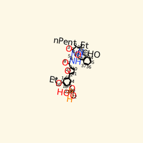 CCCCCC(C(=O)NCNC(=O)c1ccc(-c2cc(OCC)cc(O[PH](=O)O)c2)o1)C(CC)N(C=O)OCc1ccccc1